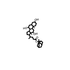 CC(CCC(=O)OC1(C)C2CC3CC(C2)CC1C3)C1CCC2C3C(C[C@H](O)[C@]12C)[C@@]1(C)CC[C@@H](O)CC1C[C@H]3O